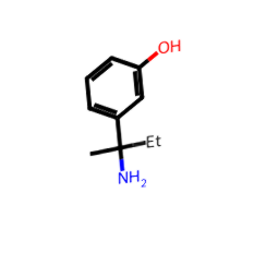 CCC(C)(N)c1cccc(O)c1